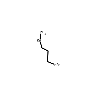 CCCCC[CH2][Ru][PH2]